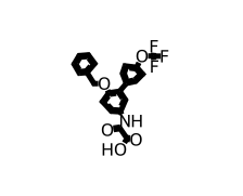 O=C(O)C(=O)Nc1ccc(OCc2ccccc2)c(-c2ccc(OC(F)(F)F)cc2)c1